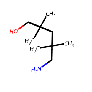 CC(C)(CN)CC(C)(C)CO